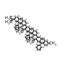 Cc1ccc2c(c1)nc1cc(-c3ccc4nc5cc(-c6ccc7nc8ccc(N(C)C)cc8[n+](-c8ccccc8)c7c6)c(N(C)C)cc5[n+](-c5ccccc5)c4c3)c(N(C)C)cc1[n+]2-c1ccccc1